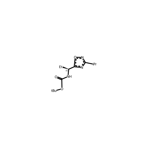 CC[C@H](NC(=O)OC(C)(C)C)c1nc(C(C)C)no1